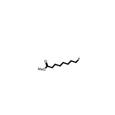 COC(=O)CCCCCCCF